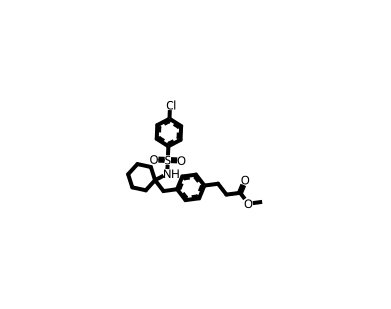 COC(=O)CCc1ccc(CC2(NS(=O)(=O)c3ccc(Cl)cc3)CCCCC2)cc1